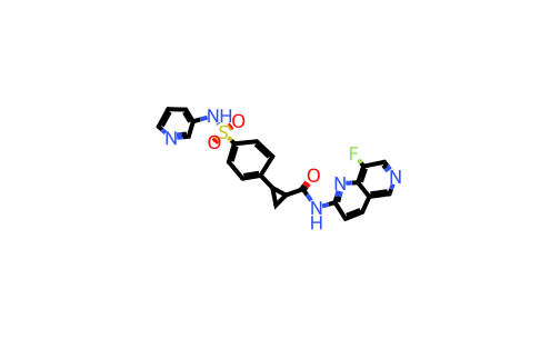 O=C(Nc1ccc2cncc(F)c2n1)C1CC1c1ccc(S(=O)(=O)Nc2cccnc2)cc1